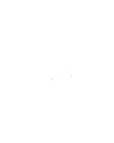 O=C(Cl)N1CCC2(CCN(Cc3cc(Cl)ccc3Cl)C2)C1